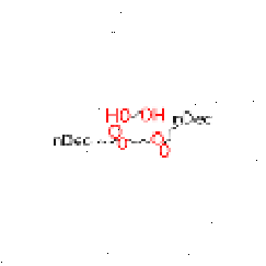 CCCCCCCCCCCCCC(=O)OCCCCOC(=O)CCCCCCCCCCCCC.OCCO